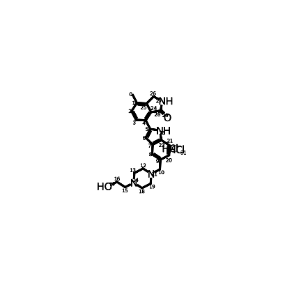 Cc1ccc(-c2cc3cc(CN4CCN(CCO)CC4)ccc3[nH]2)c2c1CNC2=O.Cl.Cl